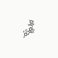 Cc1cnc2nc(Cn3ccc4c(C(=O)c5c(F)cc(F)cc5F)c[nH]c4c3=O)[nH]c2c1